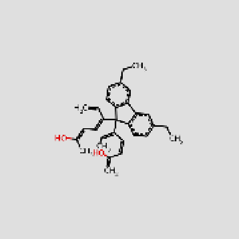 C=C/C(=C\C=C(/C)O)C1(C(/C=C\C(=C)O)=C/C)c2ccc(CC)cc2-c2cc(CC)ccc21